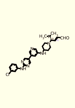 CN(C)[C@H](/C=C/C=O)N1CCC(Nc2cncc(-c3cnc(Nc4cccc(Cl)c4)nc3)c2)CC1